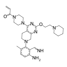 C=CC(=O)N1CCN(c2nc(OCCN3CCCCC3)nc3c2CCN(c2c(C)ccc(N)c2C=N)C3)CC1